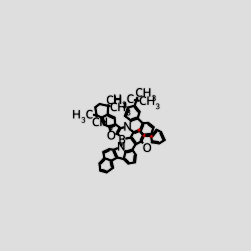 CC(C)(C)c1ccc(N2c3cc4c(oc5ccccc54)c4c3B(c3oc5cc6c(cc5c32)C(C)(C)CCC6(C)C)n2c3ccc5ccccc5c3c3cccc-4c32)c(-c2ccccc2)c1